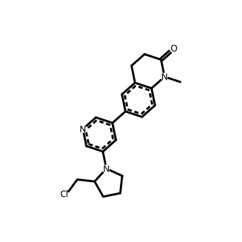 CN1C(=O)CCc2cc(-c3cncc(N4CCCC4CCl)c3)ccc21